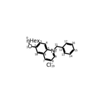 CCCCCCOc1ccc2c(ccc[n+]2Cc2ccccc2)c1.[Cl-]